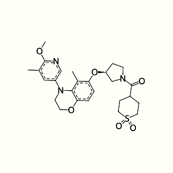 COc1ncc(N2CCOc3ccc(O[C@H]4CCN(C(=O)C5CCS(=O)(=O)CC5)C4)c(C)c32)cc1C